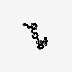 CC(C)(C)Oc1nccnc1CN1CCC(COc2ccccc2NS(C)(=O)=O)CC1